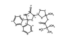 CC(C)(C)C(=O)C[N+]1(C)CCC(N2CC(c3ccccc3)(c3ccccc3)NC2=O)C1